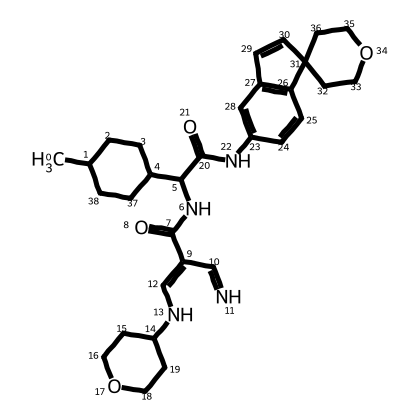 CC1CCC(C(NC(=O)/C(C=N)=C/NC2CCOCC2)C(=O)Nc2ccc3c(c2)C=CC32CCOCC2)CC1